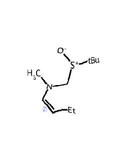 CC/C=C\N(C)C[S+]([O-])C(C)(C)C